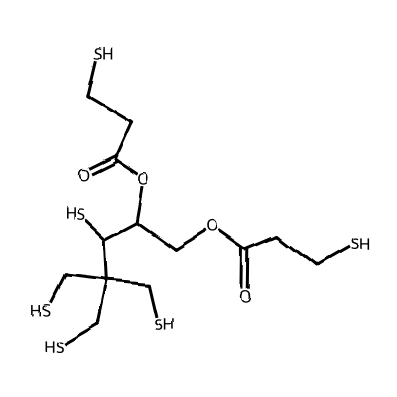 O=C(CCS)OCC(OC(=O)CCS)C(S)C(CS)(CS)CS